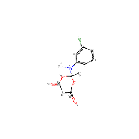 CCN(c1cccc(Br)c1)C1(CC)OC(=O)CC(=O)O1